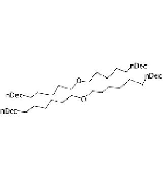 CCCCCCCCCCCCCCCCOCCCCCCCCCCCCCCCC.CCCCCCCCCCCCCCCOCCCCCCCCCCCCCCC